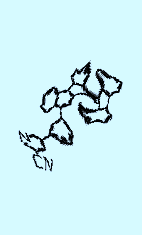 N#Cc1cncc(-c2cccc(-c3cc4c(c5ccccc35)-c3ccccc3C43c4ccccc4-c4ccccc43)c2)c1